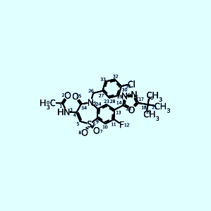 CC(=O)NC1=CS(=O)(=O)c2cc(F)c(-c3nnc(C(C)(C)C)o3)cc2N(Cc2ccc(Cl)cc2)C1=O